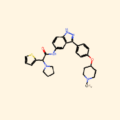 CN1CCC(Oc2ccc(-c3n[nH]c4ccc(NC(=O)C(c5cccs5)N5CCCC5)cc34)cc2)CC1